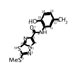 CSc1nn2cc(C(=O)Nc3cc(C)ccc3O)nc2s1